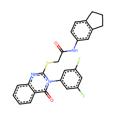 O=C(CSc1nc2ccccc2c(=O)n1-c1cc(F)cc(F)c1)Nc1ccc2c(c1)CCC2